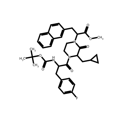 COC(=O)C(Cc1ccc2ccccc2c1)N1CCN(C(=O)C(Cc2ccc(F)cc2)NC(=O)OC(C)(C)C)C(CC2CC2)C1=O